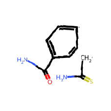 NC(=O)c1cc[c]cc1.[CH2]C(N)=S